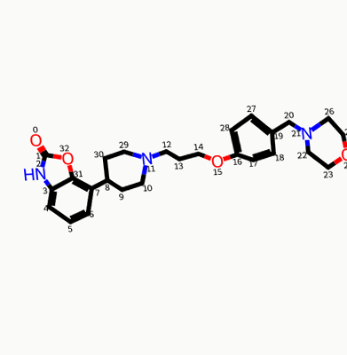 O=c1[nH]c2cccc(C3CCN(CCCOc4ccc(CN5CCOCC5)cc4)CC3)c2o1